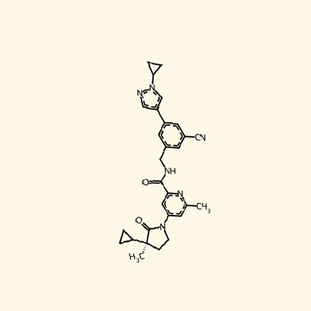 Cc1cc(N2CC[C@@](C)(C3CC3)C2=O)cc(C(=O)NCc2cc(C#N)cc(-c3cnn(C4CC4)c3)c2)n1